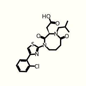 CC(C)CN1C(=O)CCCN(c2nc(-c3ccccc3Cl)cs2)C(=O)[C@H]1CC(=O)O